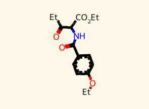 CCOC(=O)C(NC(=O)c1ccc(OCC)cc1)C(=O)CC